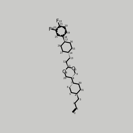 C=CCC[C@H]1CC[C@H]([C@H]2CO[C@H](CC[C@H]3CC[C@H](c4ccc(F)c(F)c4)CC3)OC2)CC1